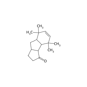 CC1(C)C=CC(C)(C)C2C3C(=O)CCC3CC21